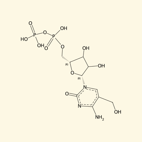 Nc1nc(=O)n([C@@H]2O[C@H](COP(=O)(O)OP(=O)(O)O)C(O)C2O)cc1CO